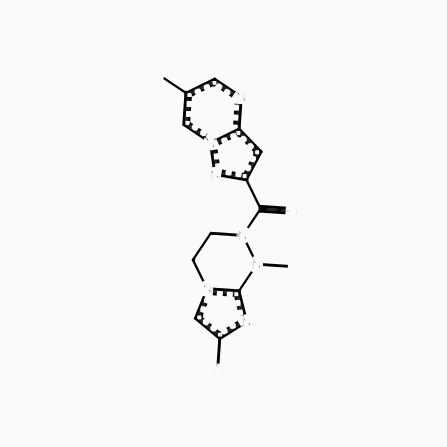 CN1c2nc(Br)cn2CCN1C(=O)c1cc2ncc(Br)cn2n1